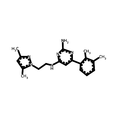 Cc1cc(C)n(CCNc2cc(-c3cccc(C)c3C)nc(N)n2)n1